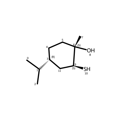 CC(C)[C@@H]1CC[C@](C)(O)[C@@H](S)C1